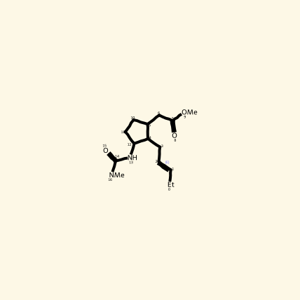 CC/C=C/CC1C(CC(=O)OC)CCC1NC(=O)NC